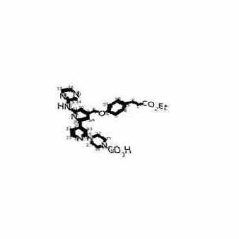 CCOC(=O)CCc1ccc(OCc2cc(Nc3cnccn3)nc(-c3ccnc(N4CCN(C(=O)O)CC4)c3)c2)cc1